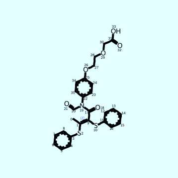 C/C(Sc1ccccc1)=C(/Sc1ccccc1)C(=O)N(C=O)c1ccc(OCCOCC(=O)O)cc1